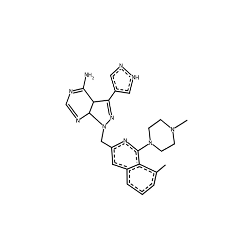 Cc1cccc2cc(CN3N=C(c4cn[nH]c4)C4C(N)=NC=NC43)nc(N3CCN(C)CC3)c12